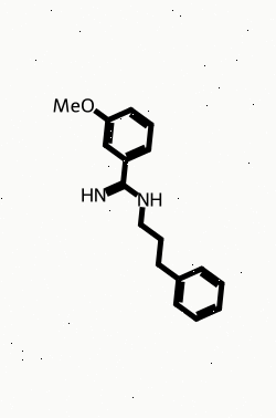 COc1cccc(C(=N)NCCCc2ccccc2)c1